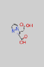 O=C(O)/C=C(\CC(=O)O)n1cccn1